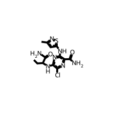 CCC(Nc1nc(Nc2cc(C)ns2)c(C(N)=O)nc1Cl)C(N)=O